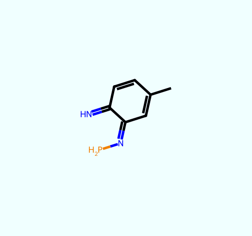 CC1=C/C(=N/P)C(=N)C=C1